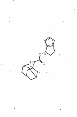 O=C(NC12CC3CC(CC(C3)C1)C2)O[C@H]1CCn2ccnc21